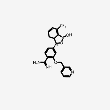 N=C(N)c1ccc([C@@H]2OB(O)C3=C(C(F)(F)F)C=CCC32)cc1OCc1cccnc1